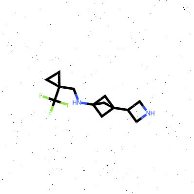 FC(F)(F)C1(CNC23CC(C4CNC4)(C2)C3)CC1